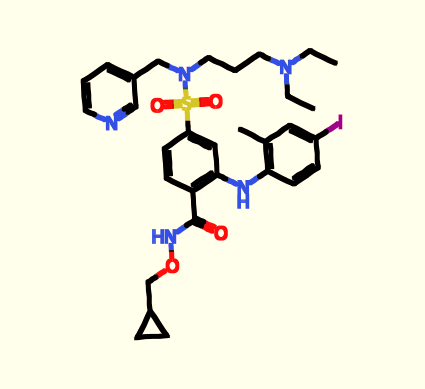 CCN(CC)CCCN(Cc1cccnc1)S(=O)(=O)c1ccc(C(=O)NOCC2CC2)c(Nc2ccc(I)cc2C)c1